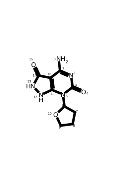 Nc1nc(=O)n(C2CCCO2)c2[nH][nH]c(=O)c12